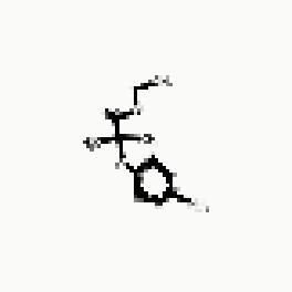 CCOC(=O)C(C)(C)Sc1ccc(N)cc1